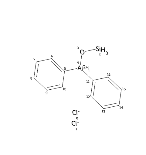 [Cl-].[Cl-].[SiH3][O][Al+2]([c]1ccccc1)[c]1ccccc1